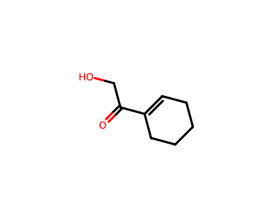 O=C(CO)C1=CCCCC1